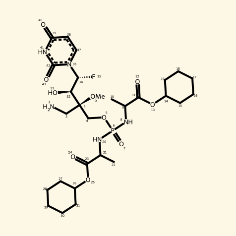 CO[C@](CN)(COP(=O)(NC(C)C(=O)OC1CCCCC1)NC(C)C(=O)OC1CCCCC1)[C@@H](O)[C@@H](F)n1ccc(=O)[nH]c1=O